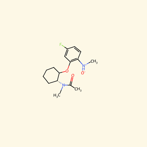 CC(=O)N(C)[C@@H]1CCCCC1Oc1cc(F)ccc1[NH+](C)[O-]